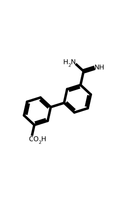 N=C(N)c1cccc(-c2cccc(C(=O)O)c2)c1